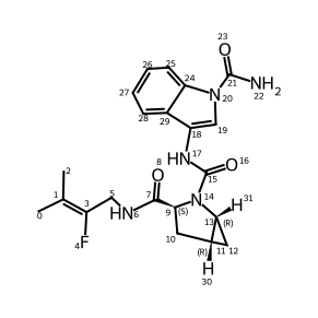 CC(C)=C(F)CNC(=O)[C@@H]1C[C@H]2C[C@H]2N1C(=O)Nc1cn(C(N)=O)c2ccccc12